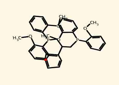 COc1ccccc1P(CC(CP(c1ccccc1OC)c1ccccc1OC)c1ccccc1)c1ccccc1OC